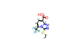 CCSc1nnc2c(C(=O)O)ccc(C(F)(F)F)n12